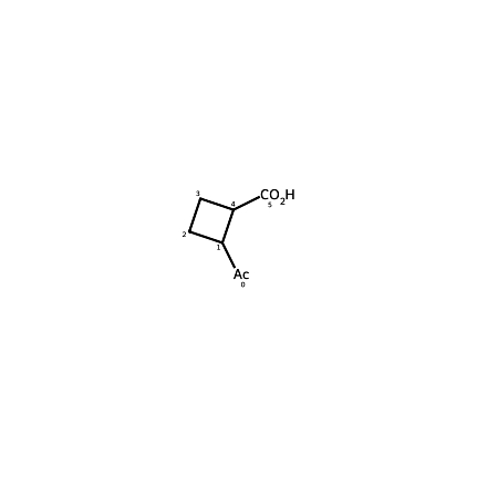 [CH2]C(=O)C1CCC1C(=O)O